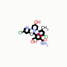 Cc1cc(Cl)cnc1[C@H]1CC(O)C[C@@H](c2ncc(Cl)cc2C)N1Cc1ccc(C(N)=O)cc1CO